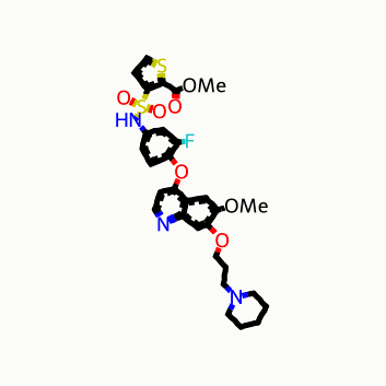 COC(=O)c1sccc1S(=O)(=O)Nc1ccc(Oc2ccnc3cc(OCCCN4CCCCC4)c(OC)cc23)c(F)c1